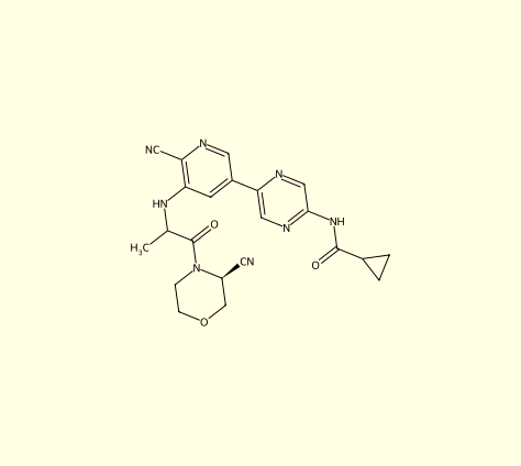 CC(Nc1cc(-c2cnc(NC(=O)C3CC3)cn2)cnc1C#N)C(=O)N1CCOC[C@@H]1C#N